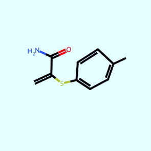 C=C(Sc1ccc(C)cc1)C(N)=O